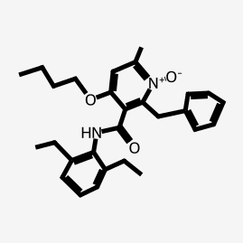 CCCCOc1cc(C)[n+]([O-])c(Cc2ccccc2)c1C(=O)Nc1c(CC)cccc1CC